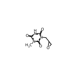 Cn1c(=O)[nH]c(=O)n(CC2CO2)c1=O